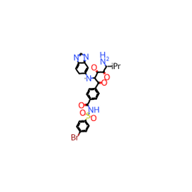 CC(C)[C@H](N)C(=O)C(=O)C([N]C1=CC2=NC=NC2=CC1)C(=O)c1ccc(C(=O)NS(=O)(=O)c2ccc(Br)cc2)cc1